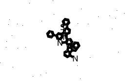 N#Cc1cccc2c1C1Cc3cccc(c3)C13c1ccc(-n4c5ccc(-c6ccccc6)cc5c5c6sc7ccccc7c6ccc54)c(C#N)c1C23